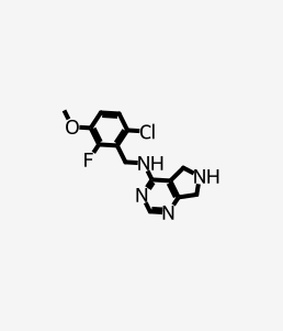 COc1ccc(Cl)c(CNc2ncnc3c2CNC3)c1F